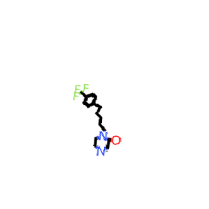 O=C1C[N]CCN1CCCCCc1ccc(C(F)(F)F)cc1